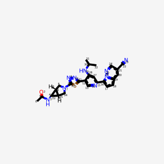 CC(=O)N[C@H]1[C@@H]2CN(c3nnc(-c4cnc(-c5ccc6cc(C#N)cnn56)cc4NC(C)C)s3)C[C@@H]21